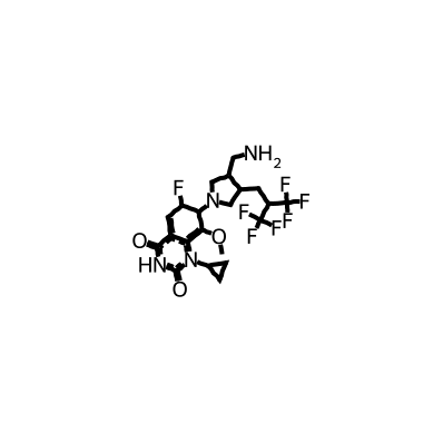 COC1=c2c(c(=O)[nH]c(=O)n2C2CC2)=CC(F)C1N1CC(CN)C(CC(C(F)(F)F)C(F)(F)F)C1